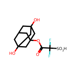 O=C(OC12CC3CC(O)(CC(O)(C3)C1)C2)C(F)(F)S(=O)(=O)O